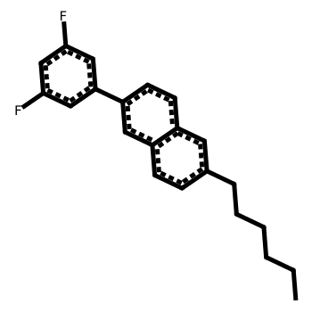 CCCCCCc1ccc2cc(-c3cc(F)cc(F)c3)ccc2c1